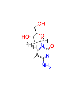 [2H]C1([2H])[C@H](O)[C@@H](CO)O[C@@]1([2H])n1cc(C)c(N)nc1=O